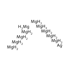 [Ag].[MgH2].[MgH2].[MgH2].[MgH2].[MgH2].[MgH2].[MgH2].[MgH2].[MgH2].[MgH2]